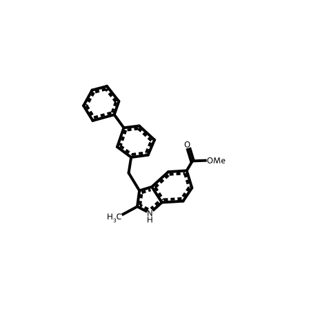 COC(=O)c1ccc2[nH]c(C)c(Cc3cccc(-c4ccccc4)c3)c2c1